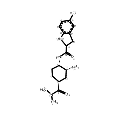 CN(C)C(=O)[C@H]1CC[C@H](NC(=O)C2Cc3cc(Cl)ccc3N2)[C@H](N)C1